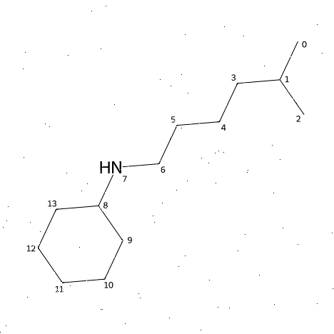 CC(C)CCCCNC1CCCCC1